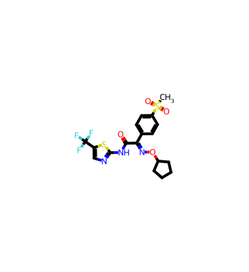 CS(=O)(=O)c1ccc(/C(=N\OC2CCCC2)C(=O)Nc2ncc(C(F)(F)F)s2)cc1